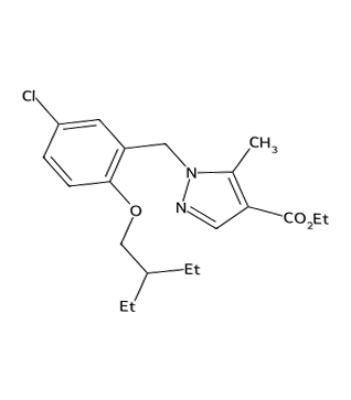 CCOC(=O)c1cnn(Cc2cc(Cl)ccc2OCC(CC)CC)c1C